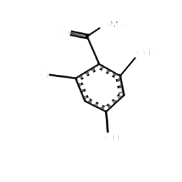 COC(=O)c1c(C)cc(O)cc1Cl